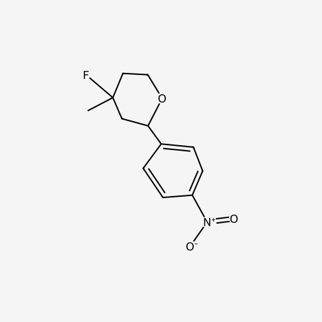 CC1(F)CCOC(c2ccc([N+](=O)[O-])cc2)C1